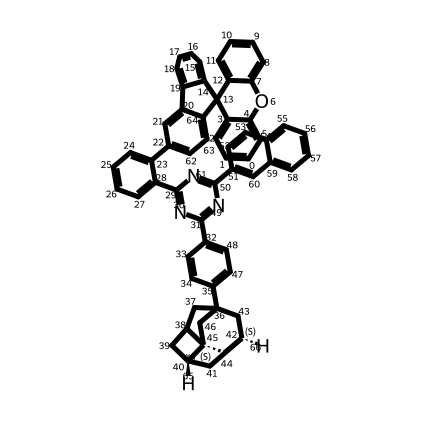 c1ccc2c(c1)Oc1ccccc1C21c2ccccc2-c2cc(-c3ccccc3-c3nc(-c4ccc(C56CC7C[C@H]8C[C@H](C5)C[C@@]78C6)cc4)nc(-c4ccc5ccccc5c4)n3)ccc21